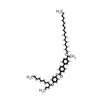 CCCCCCCCCCCCCCCCCCOC(C)c1ccc(-c2ccc(C(=O)Oc3ccc(OC(CCC)CCCCCCCC)cc3)cc2)cc1